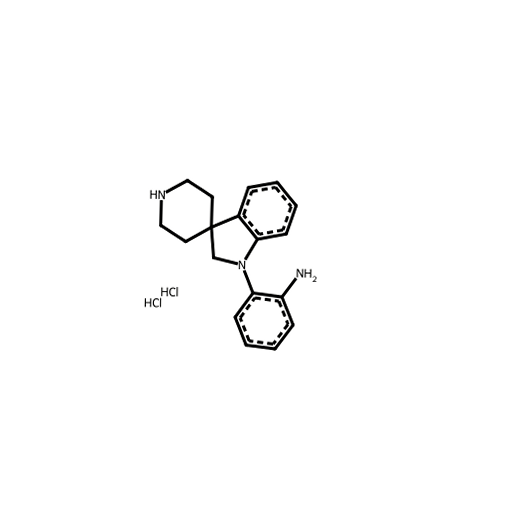 Cl.Cl.Nc1ccccc1N1CC2(CCNCC2)c2ccccc21